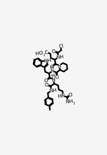 Cc1ccc(CNC(=O)C(CCCNC(N)=O)NC(=O)C(Cc2c[nH]c3ccccc23)NC(=O)C2CCCCN2C(=O)C(CCC(=O)O)NC(=O)CCl)cc1